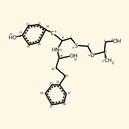 C[C@H](CO)OCSCC(Cc1ccc(O)cc1)NC(O)CCc1ccccc1